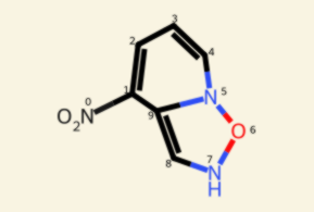 O=[N+]([O-])C1=CC=CN2ONC=C12